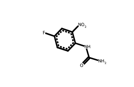 NC(=O)Nc1ccc(F)cc1[N+](=O)[O-]